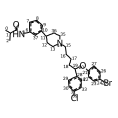 CC(C)C(=O)Nc1cccc(C2CCN(CCCCC(Oc3ccc(Br)cc3)c3ccc(Cl)cc3)CC2)c1